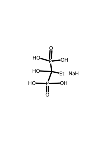 CCC(O)(P(=O)(O)O)P(=O)(O)O.[NaH]